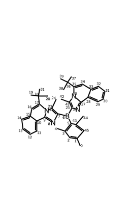 Cc1cc(C)c(B(c2nc3c4ccccc4cc(C(C)(C)C)n3c2C)c2nc3c4ccccc4cc(C(C)(C)C)n3c2C)c(C)c1